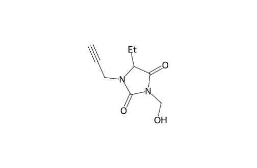 C#CCN1C(=O)N(CO)C(=O)C1CC